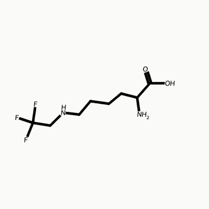 NC(CCCCNCC(F)(F)F)C(=O)O